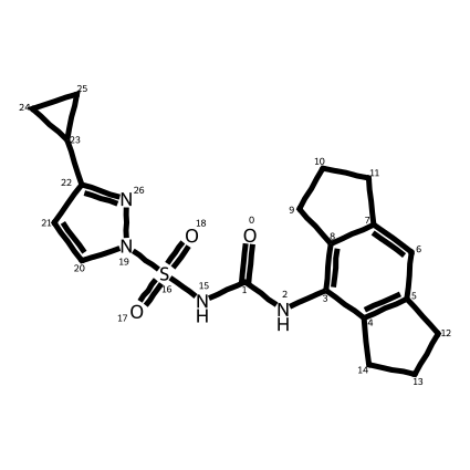 O=C(Nc1c2c(cc3c1CCC3)CCC2)NS(=O)(=O)n1ccc(C2CC2)n1